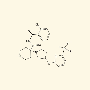 C[C@H](NC(=O)C1(N2CCC(Oc3cccc(C(F)(F)F)c3)C2)CCOCC1)c1ccccc1Cl